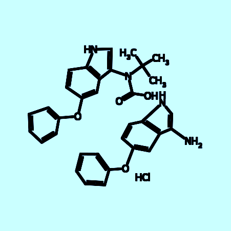 CC(C)(C)N(C(=O)O)c1c[nH]c2ccc(Oc3ccccc3)cc12.Cl.Nc1c[nH]c2ccc(Oc3ccccc3)cc12